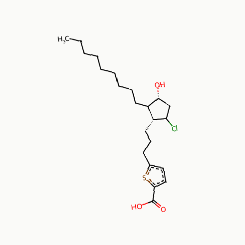 CCCCCCCCCC1[C@@H](CCCc2ccc(C(=O)O)s2)C(Cl)C[C@H]1O